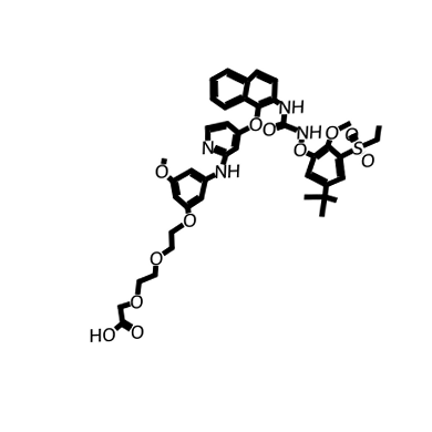 CCS(=O)(=O)c1cc(C(C)(C)C)cc(ONC(=O)Nc2ccc3ccccc3c2Oc2ccnc(Nc3cc(OC)cc(OCCOCCOCC(=O)O)c3)c2)c1OC